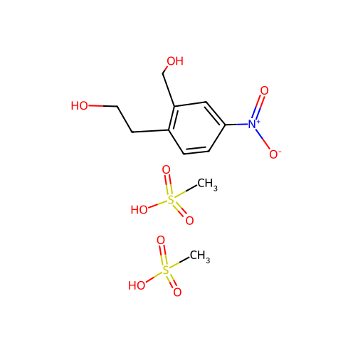 CS(=O)(=O)O.CS(=O)(=O)O.O=[N+]([O-])c1ccc(CCO)c(CO)c1